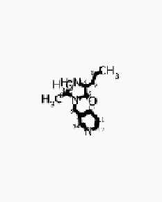 CCCC(N)C(=O)N(Cc1cccnc1)C(C)C